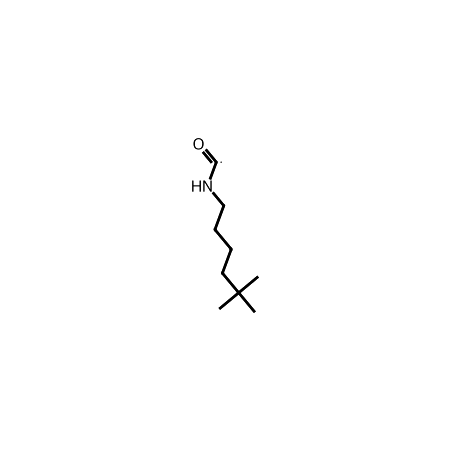 CC(C)(C)CCCCN[C]=O